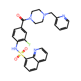 O=C(c1ccc(NS(=O)(=O)c2cccc3cccnc23)c(F)c1)N1CCN(Cc2ccccn2)CC1